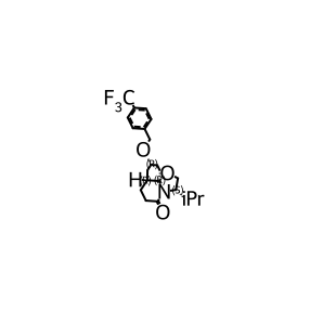 CC(C)[C@H]1CO[C@]23CC[C@@H](OCc4ccc(C(F)(F)F)cc4)C[C@H]2CCC(=O)N13